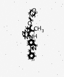 CCc1c(COCCN2CCOCC2)cn2ncnc(Nc3ccc4c(cnn4Cc4ccccc4)c3)c12